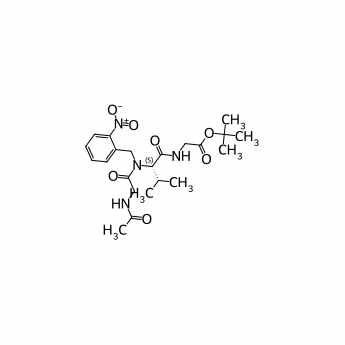 CC(=O)NCC(=O)N(Cc1ccccc1[N+](=O)[O-])[C@H](C(=O)NCC(=O)OC(C)(C)C)C(C)C